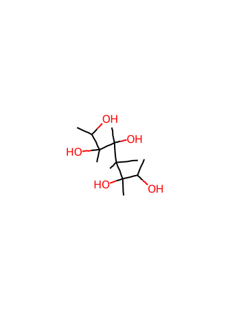 CC(O)C(C)(O)C(C)(C)C(C)(O)C(C)(O)C(C)O